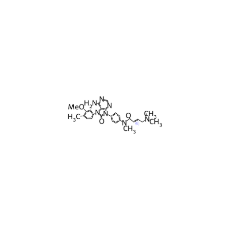 COc1cc(-n2c(=O)n(-c3ccc(N(C)C(=O)/C=C/CN(C)C)cc3)c3ncnc(N)c32)ccc1C